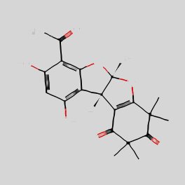 CCCC(=O)c1c(O)cc(O)c2c1O[C@]1(C(C)C)OC3=C(C(=O)C(C)(C)C(=O)C3(C)C)[C@H]21